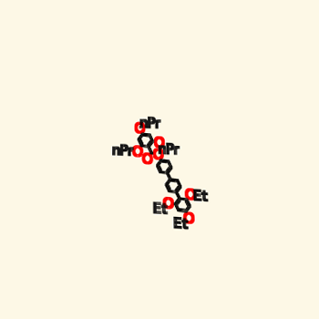 CCCOc1cc(OCCC)c(C(=O)Oc2ccc(-c3ccc(-c4c(OCC)cc(OCC)cc4OCC)cc3)cc2)c(OCCC)c1